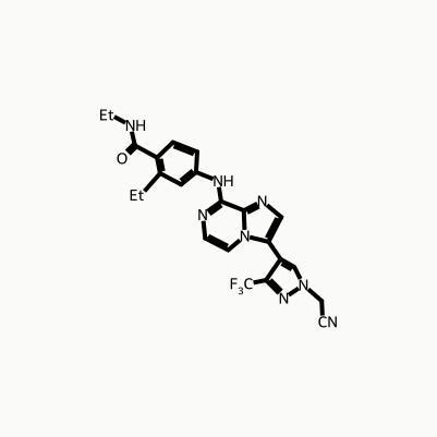 CCNC(=O)c1ccc(Nc2nccn3c(-c4cn(CC#N)nc4C(F)(F)F)cnc23)cc1CC